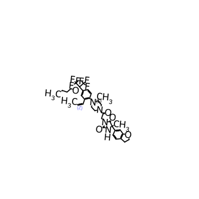 C/C=C\c1cc(C(OCCCC)(C(F)(F)F)C(F)(F)F)ccc1N1CCN(C(=O)CN2C(=O)NC(C)(c3ccc4c(c3)OCC4)C2=O)C[C@@H]1C